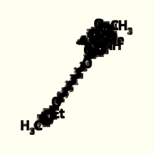 CCC1(CCOCCCCCCCCCCCCOCCOc2ccc(Nc3ncc4c(C)cc(=O)n(-c5cccc(NC(=O)C6CC6)c5)c4n3)c(OC)c2)CC2CC(C)CC(C2)C1